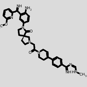 CN/C=N\C(=N)c1ccc(C2=CCN(C(=O)CN3CC[C@]4(CCN(c5ccc(N)c(C(=N)c6cccc(OC)n6)c5)C4=O)C3)CC2)cc1